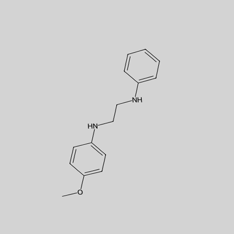 COc1ccc(NCCNc2ccccc2)cc1